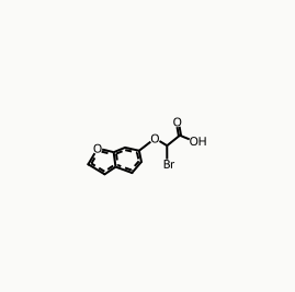 O=C(O)C(Br)Oc1ccc2ccoc2c1